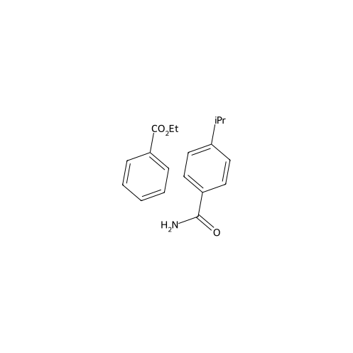 CC(C)c1ccc(C(N)=O)cc1.CCOC(=O)c1ccccc1